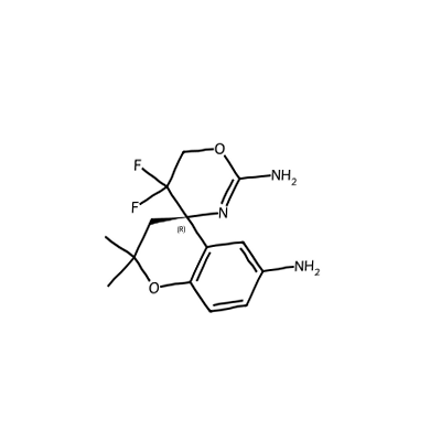 CC1(C)C[C@@]2(N=C(N)OCC2(F)F)c2cc(N)ccc2O1